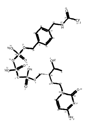 CC(O)[C@@H](COP(=O)(O)OP(=O)(O)OP(=O)(O)OCc1ccc(CNC(=O)C(F)(F)F)cc1)OCn1ccc(N)nc1=O